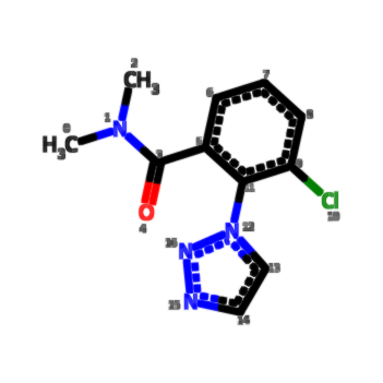 CN(C)C(=O)c1cccc(Cl)c1-n1ccnn1